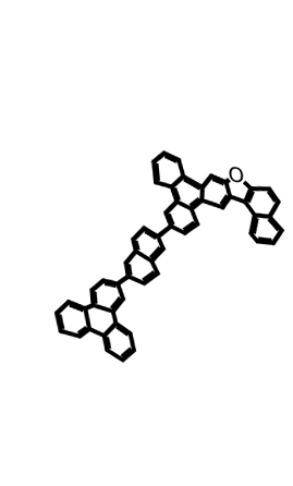 c1ccc2c(c1)ccc1oc3cc4c5ccccc5c5cc(-c6ccc7cc(-c8ccc9c%10ccccc%10c%10ccccc%10c9c8)ccc7c6)ccc5c4cc3c12